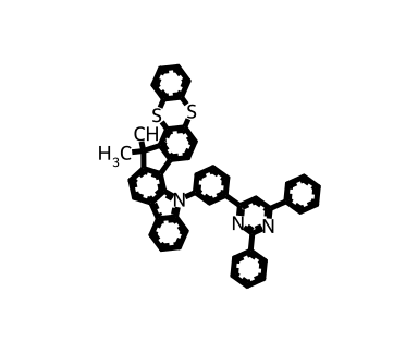 CC1(C)c2ccc3c4ccccc4n(-c4cccc(-c5cc(-c6ccccc6)nc(-c6ccccc6)n5)c4)c3c2-c2ccc3c(c21)Sc1ccccc1S3